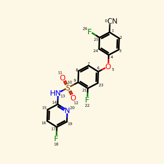 N#Cc1ccc(Oc2ccc(S(=O)(=O)Nc3ccc(F)cn3)c(F)c2)cc1F